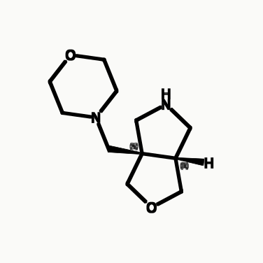 C1CN(C[C@@]23CNC[C@@H]2COC3)CCO1